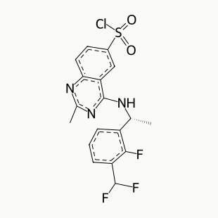 Cc1nc(N[C@H](C)c2cccc(C(F)F)c2F)c2cc(S(=O)(=O)Cl)ccc2n1